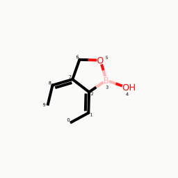 C/C=C1/B(O)OC/C1=C/C